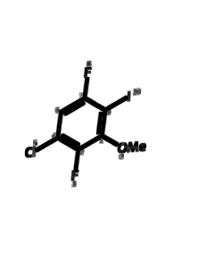 COc1c(F)c(Cl)cc(F)c1I